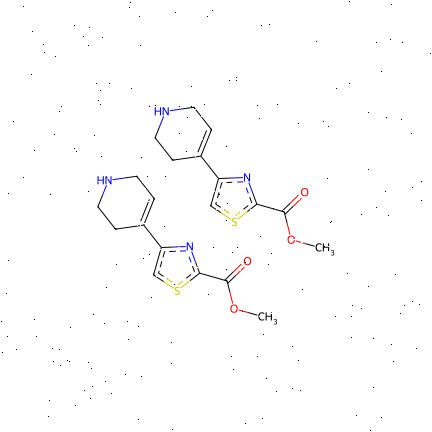 COC(=O)c1nc(C2=CCNCC2)cs1.COC(=O)c1nc(C2=CCNCC2)cs1